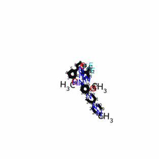 COc1cccc(C2CCON2c2nc(Nc3ccc(N4CCC(N5CCN(C)CC5)CC4)c(OC)c3)ncc2C(F)(F)F)c1